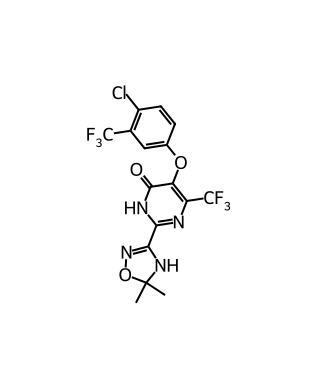 CC1(C)NC(c2nc(C(F)(F)F)c(Oc3ccc(Cl)c(C(F)(F)F)c3)c(=O)[nH]2)=NO1